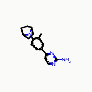 Cc1cc(-c2ccnc(N)n2)ccc1N1C2CCC1CC2